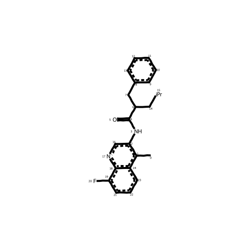 Cc1c(NC(=O)C(Cc2ccccc2)CC(C)C)cnc2c(F)cccc12